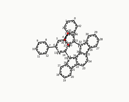 c1ccc(-c2cc(-c3ccccc3)nc(-n3c4ccccc4c4ccc5c6ccccc6n(-c6cccs6)c5c43)n2)cc1